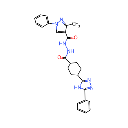 O=C(NNC(=O)C1CCC(c2nnc(-c3ccccc3)[nH]2)CC1)c1cn(-c2ccccc2)nc1C(F)(F)F